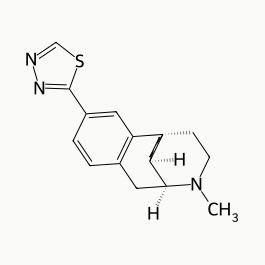 CN1CC[C@@]23CCCC[C@@H]2[C@@H]1Cc1ccc(-c2nncs2)cc13